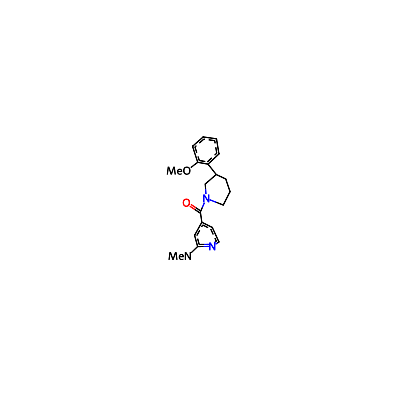 CNc1cc(C(=O)N2CCCC(c3ccccc3OC)C2)ccn1